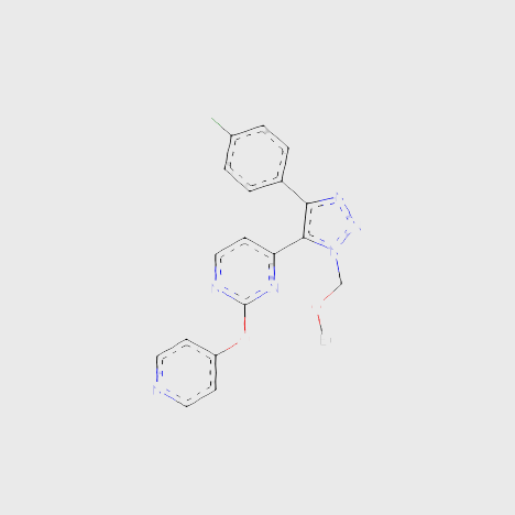 CCOCn1nnc(-c2ccc(F)cc2)c1-c1ccnc(Oc2ccncc2)n1